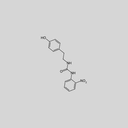 O=C(NCCc1ccc(O)cc1)Nc1ccccc1[N+](=O)[O-]